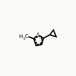 Cc1ccc(C2CC2)s1